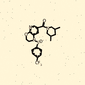 CC1CC(C)CN(C(=O)c2cnc3c(c2)N([S+]([O-])c2ccc(C(F)(F)F)cc2)CCO3)C1